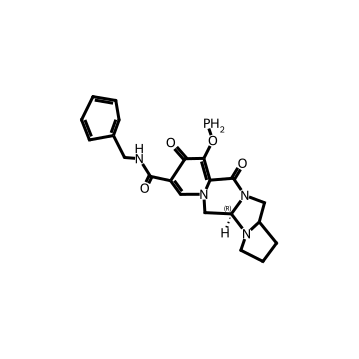 O=C(NCc1ccccc1)c1cn2c(c(OP)c1=O)C(=O)N1CC3CCCN3[C@H]1C2